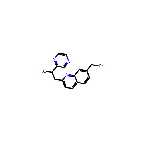 CC(C)Cc1ccc2ccc(CC(C)c3cnccn3)nc2c1